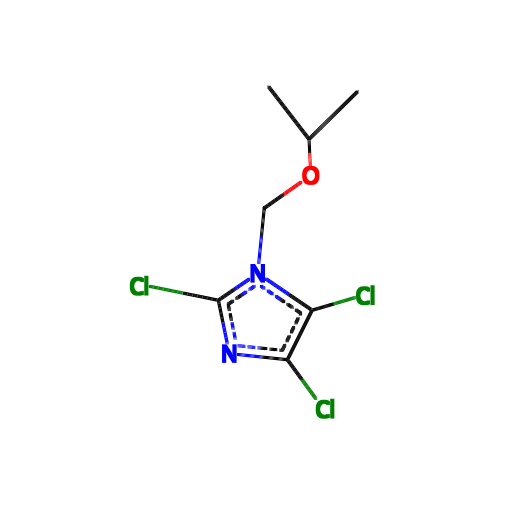 CC(C)OCn1c(Cl)nc(Cl)c1Cl